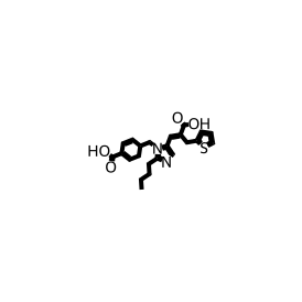 CCCCc1ncc(/C=C(\Cc2cccs2)C(=O)O)n1CC1C=CC(C(=O)O)=CC1